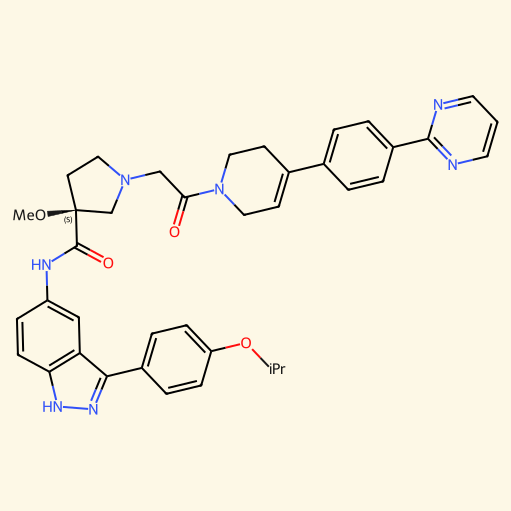 CO[C@@]1(C(=O)Nc2ccc3[nH]nc(-c4ccc(OC(C)C)cc4)c3c2)CCN(CC(=O)N2CC=C(c3ccc(-c4ncccn4)cc3)CC2)C1